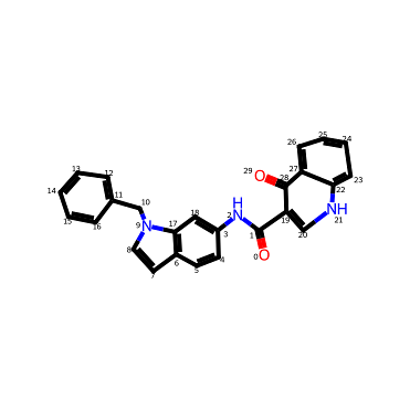 O=C(Nc1ccc2ccn(Cc3ccccc3)c2c1)c1c[nH]c2ccccc2c1=O